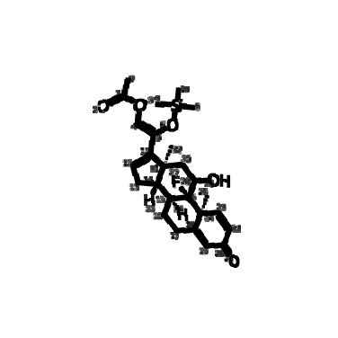 CC(=O)OC=C(O[Si](C)(C)C)C1=CC[C@H]2[C@@H]3CCC4=CC(=O)C=C[C@]4(C)[C@@]3(F)C(O)C[C@]12C